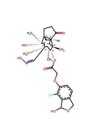 C[C@@H]1CC[C@@]23CCC(=O)[C@H]2[C@]1(C)[C@H](OC(=O)COc1ccc2c(c1F)B(O)OC2)C[C@@](C)(/C=N\O)[C@@H](O)[C@@H]3C